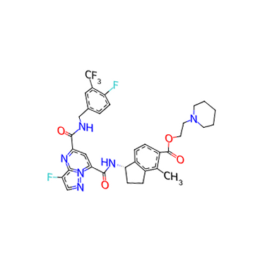 Cc1c(C(=O)OCCN2CCCCC2)ccc2c1CC[C@@H]2NC(=O)c1cc(C(=O)NCc2ccc(F)c(C(F)(F)F)c2)nc2c(F)cnn12